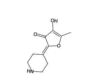 CC1=C(O)C(=O)C(=C2CCNCC2)O1